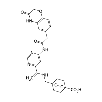 C=C(NCC12CCC(C(=O)O)(CC1)CC2)c1cc(NC(=O)Cc2ccc3c(c2)NC(=O)CO3)ncn1